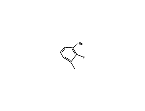 Cc1cccc(C(C)(C)C)c1F